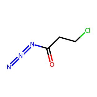 [N-]=[N+]=NC(=O)CCCl